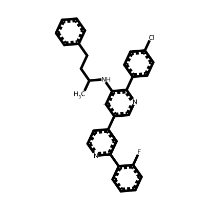 CC(CCc1ccccc1)Nc1[c]c(-c2ccnc(-c3ccccc3F)c2)cnc1-c1ccc(Cl)cc1